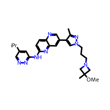 COC1(C)CN(CCCn2cc(-c3cnc4ccc(Nc5cc(C(C)C)cnn5)nc4c3)c(C)n2)C1